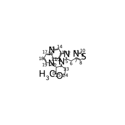 C[C@@H]1CC(n2c(Cc3cscn3)nc3cnc4cccnc4c32)CCO1